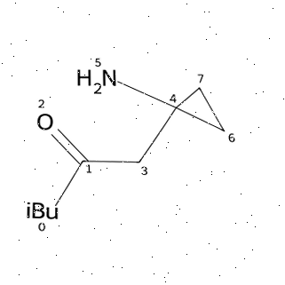 CCC(C)C(=O)CC1(N)CC1